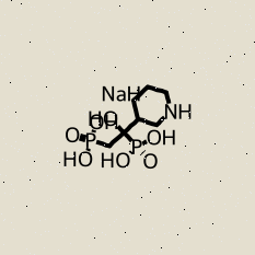 O=P(O)(O)CC(O)(C1CCCNC1)P(=O)(O)O.[NaH]